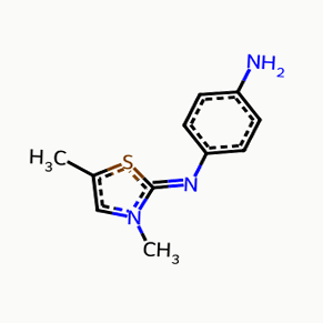 Cc1cn(C)c(=Nc2ccc(N)cc2)s1